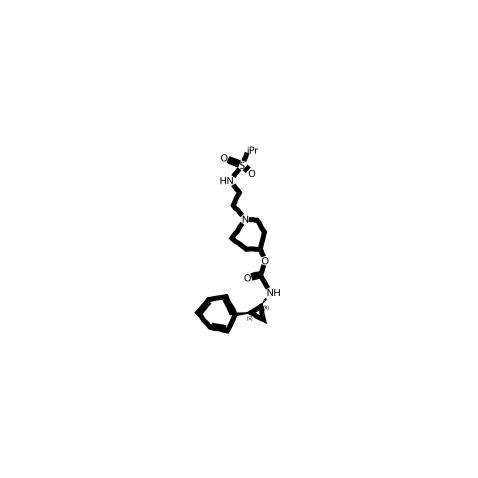 CC(C)S(=O)(=O)NCCN1CCC(OC(=O)N[C@@H]2C[C@H]2c2ccccc2)CC1